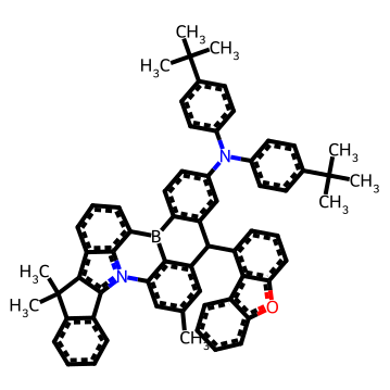 Cc1cc2c3c(c1)-n1c4c(c5cccc(c51)B3c1ccc(N(c3ccc(C(C)(C)C)cc3)c3ccc(C(C)(C)C)cc3)cc1C2c1cccc2oc3ccccc3c12)C(C)(C)c1ccccc1-4